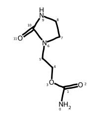 NC(=O)OCCN1CCNC1=O